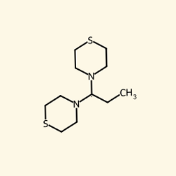 CC[C](N1CCSCC1)N1CCSCC1